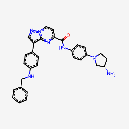 N[C@H]1CCN(c2ccc(NC(=O)c3ccn4ncc(-c5ccc(NCc6ccccc6)cc5)c4n3)cc2)C1